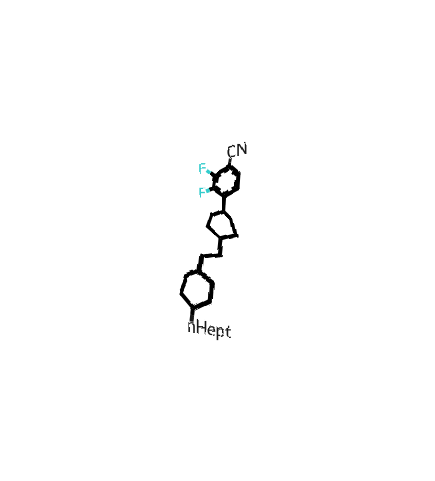 CCCCCCCC1CCC(CCC2CCC(c3ccc(C#N)c(F)c3F)CC2)CC1